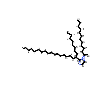 CCCCCCCCCCCCCCCCCC(CCCCCCCC)c1nccn1C(C)CCCCCCCCCCC